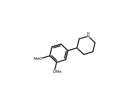 COc1ccc(C2CCCNC2)cc1OC